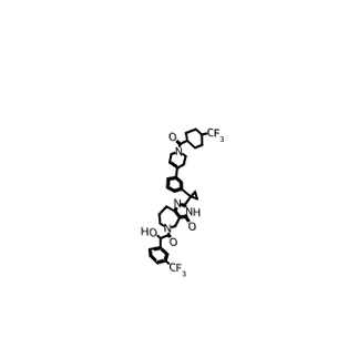 O=C(C1CCC(C(F)(F)F)CC1)N1CC=C(c2cccc(C3(c4nc5c(c(=O)[nH]4)CN(C(=O)C(O)c4cccc(C(F)(F)F)c4)CCC5)CC3)c2)CC1